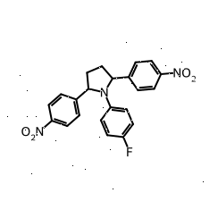 O=[N+]([O-])c1ccc(C2CCC(c3ccc([N+](=O)[O-])cc3)N2c2ccc(F)cc2)cc1